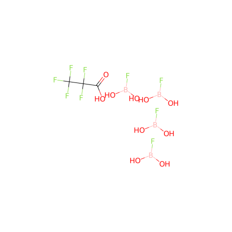 O=C(O)C(F)(F)C(F)(F)F.OB(O)F.OB(O)F.OB(O)F.OB(O)F